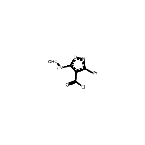 CC(C)c1noc(NC=O)c1C(=O)Cl